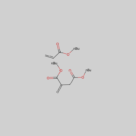 C=C(CC(=O)OCCCC)C(=O)OCCCC.C=CC(=O)OCCCC